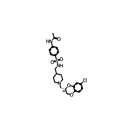 CC(=O)Nc1ccc(S(=O)(=O)NCC2CCN(C[C@H]3COc4ccc(Cl)cc4O3)CC2)cc1